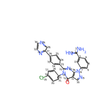 N=C(N)c1cccc(-n2ncc3c(=O)n(-c4ccc(Cl)cc4)c(-c4ccc(-c5cnccn5)cc4)nc32)c1